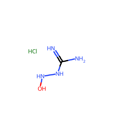 Cl.N=C(N)NNO